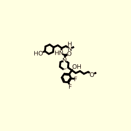 CNCC(CC1CCC(O)CC1)NC(=O)N1CCC[C@@H]([C@@](O)(CCCCOC)c2cccc(F)c2F)C1